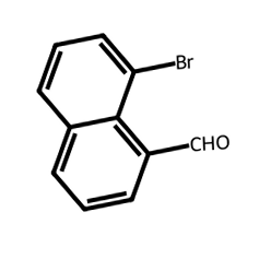 O=Cc1cccc2cccc(Br)c12